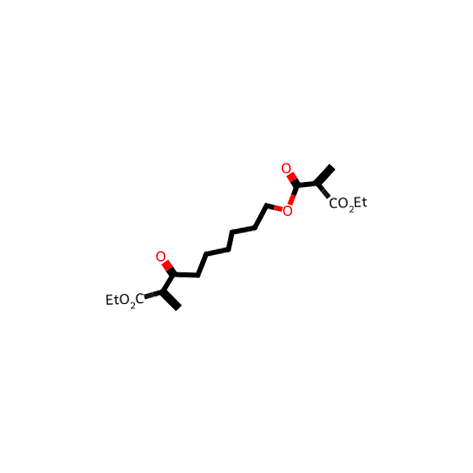 C=C(C(=O)CCCCCCOC(=O)C(=C)C(=O)OCC)C(=O)OCC